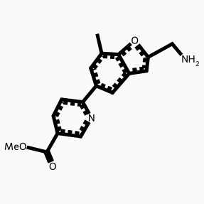 COC(=O)c1ccc(-c2cc(C)c3oc(CN)cc3c2)nc1